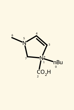 CCCC[N+]1(C(=O)O)C=CN(C)C1